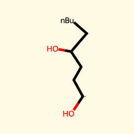 CCCCCC(O)CC[CH]O